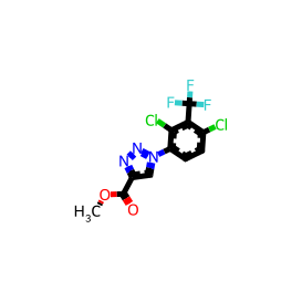 COC(=O)c1cn(-c2ccc(Cl)c(C(F)(F)F)c2Cl)nn1